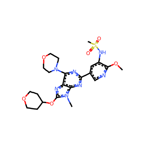 COc1ncc(-c2nc(N3CCOCC3)c3nc(OC4CCOCC4)n(C)c3n2)cc1NS(C)(=O)=O